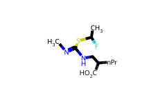 CCCC(CN/C(=N/C)SC(C)F)C(=O)O